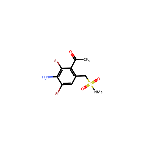 CNS(=O)(=O)Cc1cc(Br)c(N)c(Br)c1C(=O)C(F)(F)F